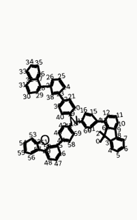 CC1(C)c2ccccc2-c2cccc(-c3ccc(N(c4ccc(-c5cccc(-c6cccc7ccccc67)c5)cc4)c4ccc(-c5cccc6c5oc5ccccc56)cc4)cc3)c21